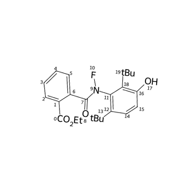 CCOC(=O)c1ccccc1C(=O)N(F)c1c(C(C)(C)C)ccc(O)c1C(C)(C)C